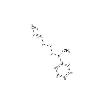 C/C=C/CCCC(C)c1ccccc1